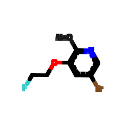 COc1ncc(Br)cc1OCCF